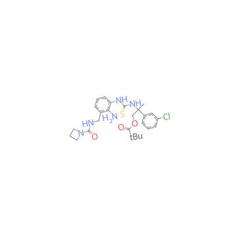 CC(C)(C)C(=O)OCC(C)(NC(=S)Nc1cccc(CNC(=O)N2CCC2)c1N)c1cccc(Cl)c1